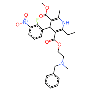 CCC1=C(C(=O)OCCN(C)Cc2ccccc2)C(c2cccc([N+](=O)[O-])c2F)C(C(=O)OC)=C(C)N1